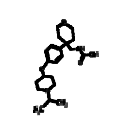 CC(C)N1CCC(Oc2ccc(C3(CNC(=O)O)CCOCC3)cc2)CC1